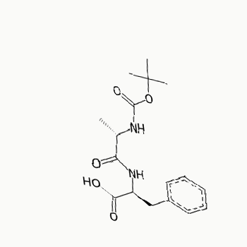 C[C@H](NC(=O)OC(C)(C)C)C(=O)N[C@@H](Cc1ccccc1)C(=O)O